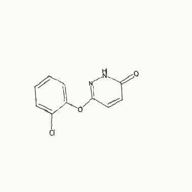 O=c1ccc(Oc2ccccc2Cl)n[nH]1